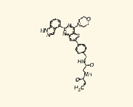 C=CC(=O)NCC(=O)NCc1ccc(-c2cc3nc(-c4cccc5[nH]ncc45)nc(N4CCOCC4)c3s2)cc1